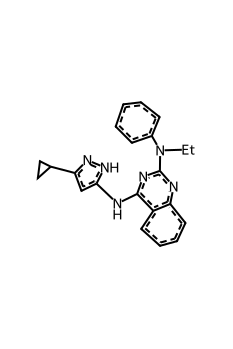 CCN(c1ccccc1)c1nc(Nc2cc(C3CC3)n[nH]2)c2ccccc2n1